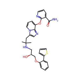 CC(C)(Cc1cnc2c(Oc3ncccc3C(N)=O)cccn12)NC[C@H](O)COc1ccccc1-c1cccs1